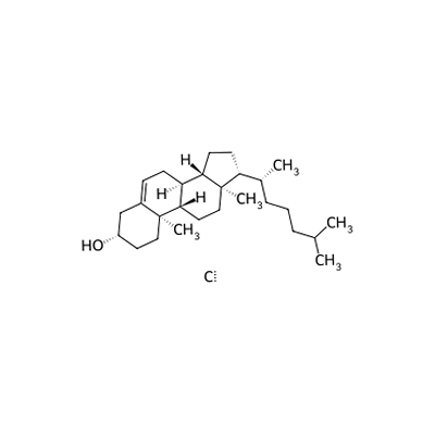 CC(C)CCC[C@@H](C)[C@H]1CC[C@H]2[C@@H]3CC=C4C[C@@H](O)CC[C@]4(C)[C@H]3CC[C@]12C.[C]